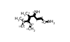 C=N/C(=C(/C)C(=N)/C=C/ON)N(C)CC